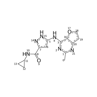 Cc1nc(Nc2cc(C(=O)NC3CC3)n[nH]2)c2occc2n1